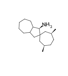 C[C@@H]1CC[C@H](C)CC2(CC3CCCCCC3[C@H]2N)C1